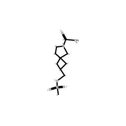 CS(=O)(=O)OCC1CC2(CCN(C(=O)O)C2)C1